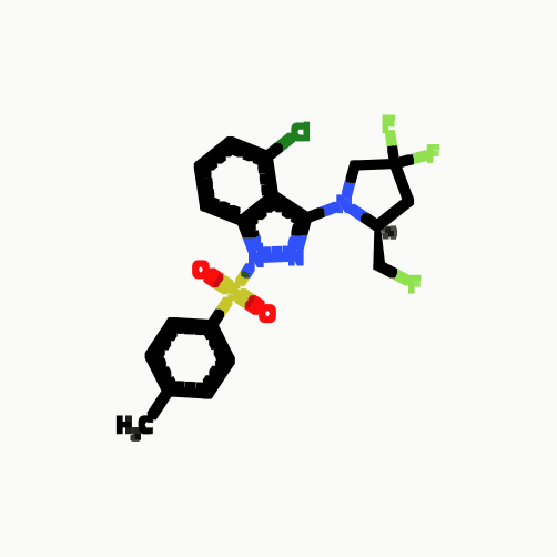 Cc1ccc(S(=O)(=O)n2nc(N3CC(F)(F)C[C@H]3CF)c3c(Cl)cccc32)cc1